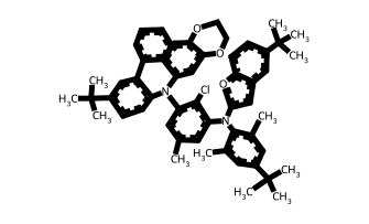 Cc1cc(N(c2ccc3c(c2)OCCO3)c2ccc(C(C)(C)C)cc2-c2ccccc2)c(Cl)c(N(c2cc3cc(C(C)(C)C)ccc3o2)c2c(C)cc(C(C)(C)C)cc2C)c1